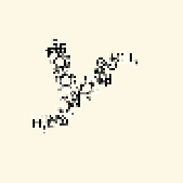 CCOC(=O)c1cn(-c2ccc(-n3nc(CCC(=O)NC)cc3-c3ccc(-c4ccc(C(F)(F)F)cc4)cc3)cc2)nn1